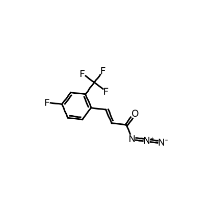 [N-]=[N+]=NC(=O)/C=C/c1ccc(F)cc1C(F)(F)F